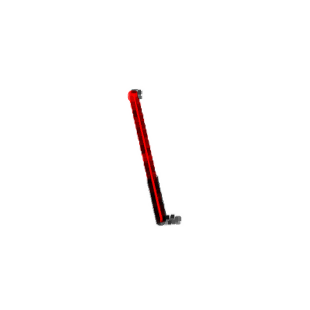 CCC(C)(C)C(=O)OCCOCCOCCOCCOCCOCCOCCOCCOCCOCCOCCOCCOCCOCCOCCOCCOCCOCCOCCOCCOCCOCCOCCOCCOCCOCCOCCOCCOCCOCCOCCOCCOCCOCCOCCOCCOCCOCCOCCOCCOCCOCCOCCOCCOCCOCCOCCOC